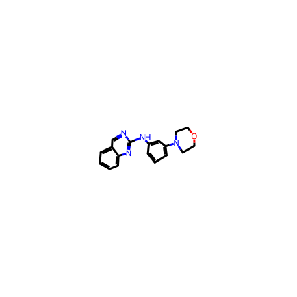 c1cc(Nc2ncc3ccccc3n2)cc(N2CCOCC2)c1